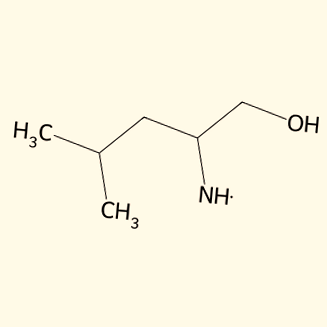 CC(C)CC([NH])CO